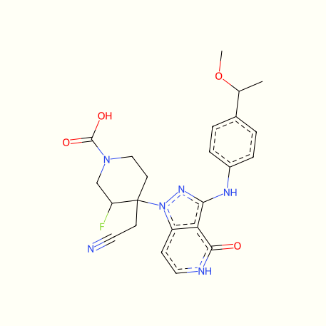 COC(C)c1ccc(Nc2nn(C3(CC#N)CCN(C(=O)O)CC3F)c3cc[nH]c(=O)c23)cc1